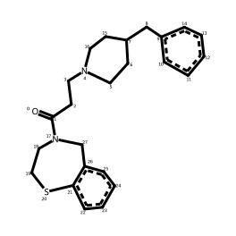 O=C(CCN1CCC(Cc2ccccc2)CC1)N1CCSc2ccccc2C1